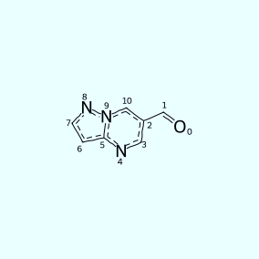 O=Cc1cnc2ccnn2c1